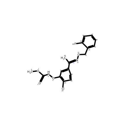 COC(=O)NOc1cc(/C(C)=N/OCc2ccccc2F)ccc1Cl